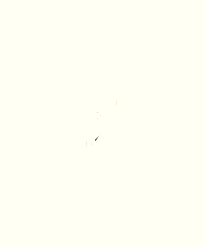 CC[C@H](C)OS